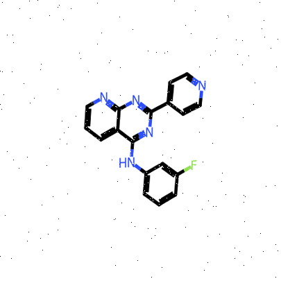 Fc1cccc(Nc2nc(-c3ccncc3)nc3ncccc23)c1